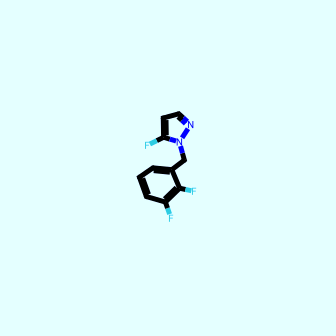 Fc1cccc(Cn2nccc2F)c1F